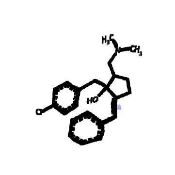 CN(C)CC1CC/C(=C/c2ccccc2)C1(O)Cc1ccc(Cl)cc1